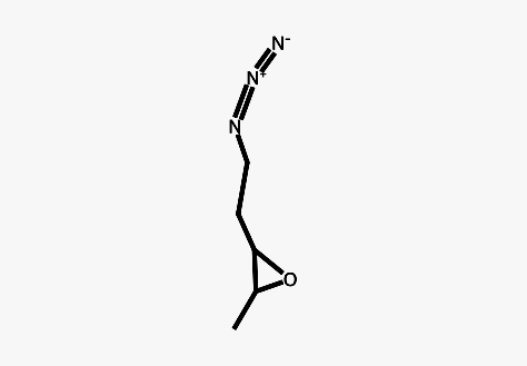 CC1OC1CCN=[N+]=[N-]